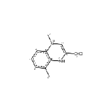 Cc1cccc2c1NC(C=O)=CN2C